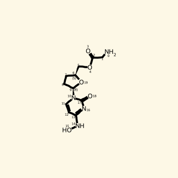 NCC(=O)OC[C@@H]1CC[C@H](n2ccc(NO)nc2=O)O1